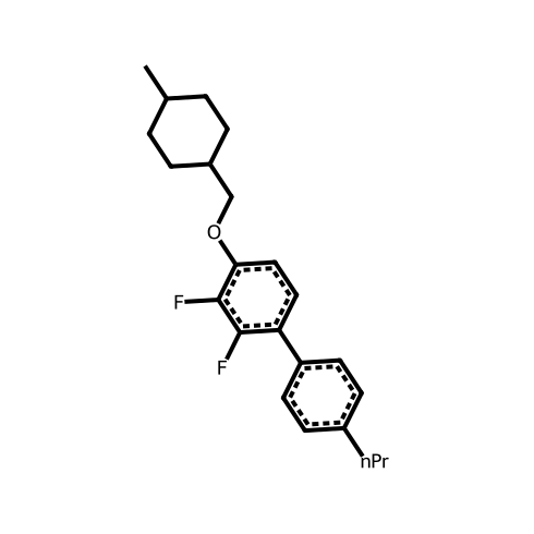 CCCc1ccc(-c2ccc(OCC3CCC(C)CC3)c(F)c2F)cc1